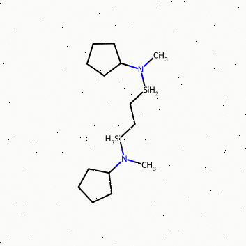 CN([SiH2]CC[SiH2]N(C)C1CCCC1)C1CCCC1